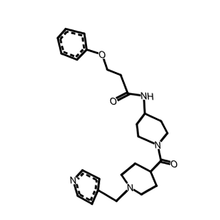 O=C(CCOc1ccccc1)NC1CCN(C(=O)C2CCN(Cc3ccncc3)CC2)CC1